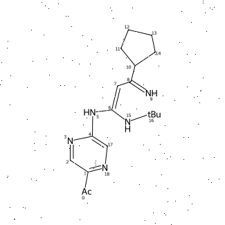 CC(=O)c1cnc(N/C(=C/C(=N)C2CCCC2)NC(C)(C)C)cn1